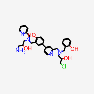 NCC(O)CN(Cc1ccccn1)Cc1cc(-c2ccnc(CN(Cc3ccccc3O)CC(O)CCl)c2)ccc1O